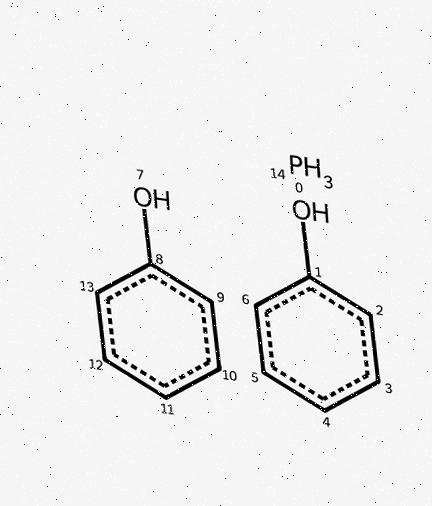 Oc1ccccc1.Oc1ccccc1.P